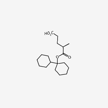 CC(CCC(=O)O)C(=O)OC1(C2CCCCC2)CCCCC1